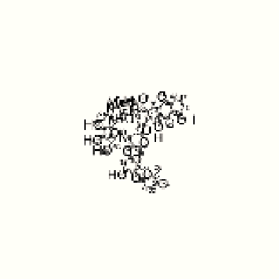 CC[C@@]1(O)C[C@H](O[C@H]2C[C@H](N(C)C)[C@H](O[C@H]3C[C@H](O)[C@H](O[C@H]4CCC(=O)[C@H](C)O4)[C@H](C)O3)[C@H](C)O2)c2c(cc3c(c2O)C(=O)c2c(O)cccc2C3=O)[C@H]1C(=O)OC.Nc1ccn([C@@H]2O[C@H](CO)[C@@H](O)[C@@H]2O)c(=O)n1